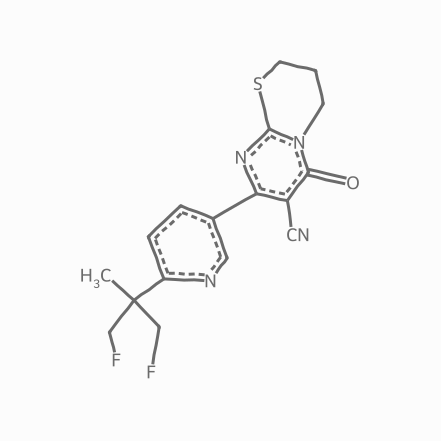 CC(CF)(CF)c1ccc(-c2nc3n(c(=O)c2C#N)CCCS3)cn1